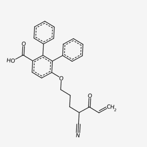 C=CC(=O)C(C#N)CCCOc1ccc(C(=O)O)c(-c2ccccc2)c1-c1ccccc1